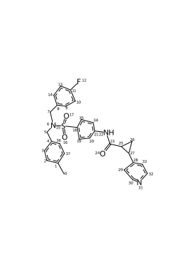 Cc1ccc(CN(Cc2ccc(F)cc2)S(=O)(=O)c2ccc(NC(=O)C3CC3c3ccncc3)cc2)cc1